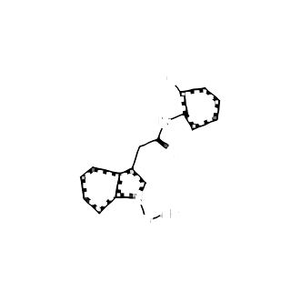 CCCOn1cc(CC(=O)Nc2ccccc2C(F)(F)F)c2ccccc21